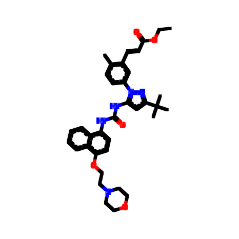 CCOC(=O)C=Cc1cc(-n2nc(C(C)(C)C)cc2NC(=O)Nc2ccc(OCCN3CCOCC3)c3ccccc23)ccc1C